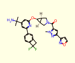 Cn1nc(-c2ccon2)cc1C(=O)N1C[C@@H]2[C@H](C1)[C@@H]2Oc1cc(C(C)(C)N)cc(-c2ccc3c(c2)CC3(F)F)n1